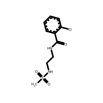 CS(=O)(=O)NCCNC(=O)c1ccccc1Cl